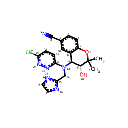 CC1(C)Oc2ccc(C#N)cc2C(N(Cc2ncc[nH]2)c2ccc(Cl)nn2)[C@H]1O